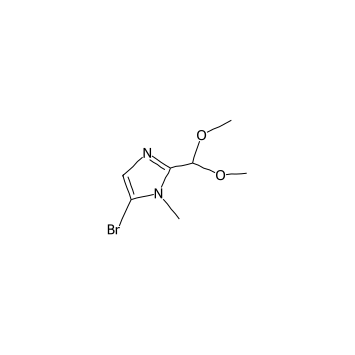 COC(OC)c1ncc(Br)n1C